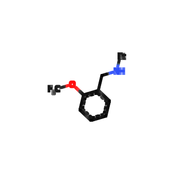 CCNCc1ccccc1OC(F)(F)F